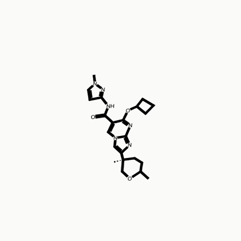 CC1CC[C@](C)(c2cn3cc(C(=O)Nc4ccn(C)n4)c(OC4CCC4)nc3n2)CO1